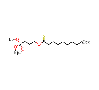 CCCCCCCCCCCCCCCCCC(=S)OCCC[Si](OCC)(OCC)OCC